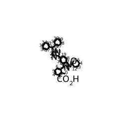 Cc1c(C(=O)O)cccc1-c1nn(C2CCCCO2)c2ccc(-c3ncn(C(c4ccccc4)c4ccccc4)n3)cc12